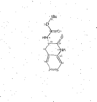 CC(C)(C)OC(=O)N[C@H]1Cc2ccccc2NC1=O